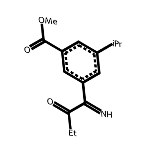 CCC(=O)C(=N)c1cc(C(=O)OC)cc(C(C)C)c1